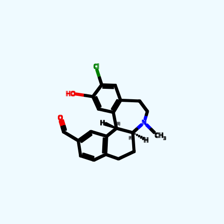 CN1CCc2cc(Cl)c(O)cc2[C@H]2c3cc(C=O)ccc3CC[C@@H]21